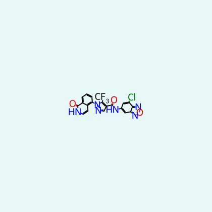 O=C(Nc1cc(Cl)c2nonc2c1)c1cnn(-c2cccc3c(=O)[nH]ccc23)c1C(F)(F)F